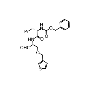 CC(C)C[C@H](NC(=O)OCc1ccccc1)C(=O)NC(C=O)COCc1ccsc1